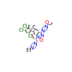 C=CC(=O)N1[C@H](C)CN(c2nc(=O)n3c4c(c(-c5cc(Cl)c(Cl)cc5Cl)c(C(F)(F)F)cc24)SC[C@@H]3CN2CCN(CC)CC2)C[C@@H]1C